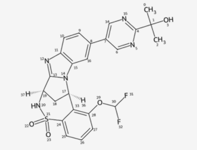 CC(C)(O)c1ncc(-c2ccc3nc4n(c3c2)[C@@H]2C[C@H]4NS(=O)(=O)c3cccc(OC(F)F)c32)cn1